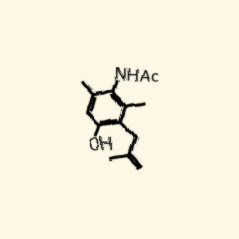 C=C(C)Cc1c(O)cc(C)c(NC(C)=O)c1C